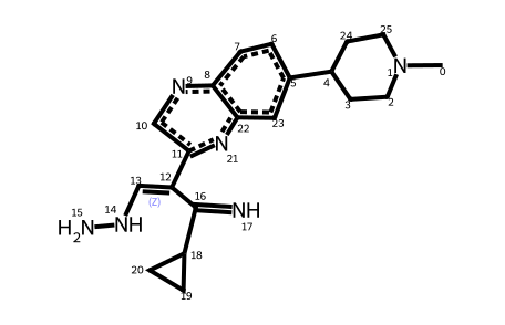 CN1CCC(c2ccc3ncc(/C(=C/NN)C(=N)C4CC4)nc3c2)CC1